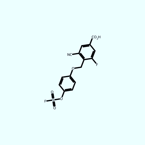 N#Cc1cc(C(=O)O)cc(F)c1COc1ccc(OS(=O)(=O)F)cc1